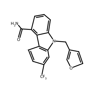 NC(=O)c1cccc2c1c1[c]cc(C(F)(F)F)cc1n2Cc1ccoc1